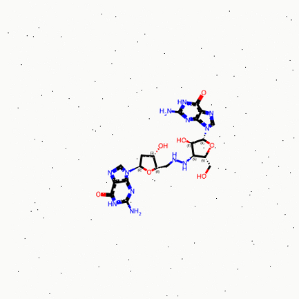 Nc1nc2c(ncn2[C@@H]2O[C@H](CO)[C@@H](NNC[C@H]3O[C@@H](n4cnc5c(=O)[nH]c(N)nc54)C[C@@H]3O)[C@H]2O)c(=O)[nH]1